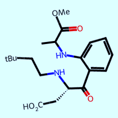 COC(=O)C(C)Nc1ccccc1C(=O)[C@H](CC(=O)O)NCCC(C)(C)C